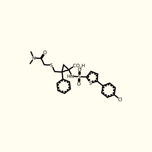 CN(C)C(=O)CSCC1(c2ccccc2)CC1(NS(=O)(=O)c1ccc(-c2ccc(Cl)cc2)s1)C(=O)O